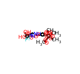 CC(=O)OCC1O[C@@H](Oc2ccc(COC(=O)Nc3ccn([C@@H]4O[C@H](CO)C(O)C(F)C4F)c(=O)n3)cc2)C(OC(C)=O)C(OC(C)=O)[C@H]1OC(C)=O